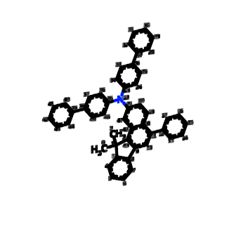 CC1(C)c2ccccc2-c2cc(-c3ccccc3)c3ccc(N(c4ccc(-c5ccccc5)cc4)c4ccc(-c5ccccc5)cc4)cc3c21